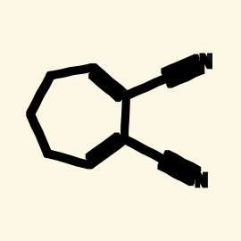 N#CC1=CCCCC=C1C#N